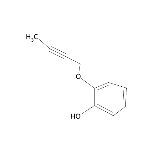 CC#CCOc1ccccc1O